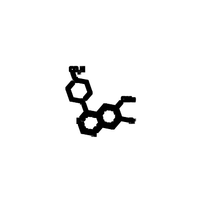 COc1cc2c(N3CCN(C(=O)O)CC3)ncnc2cc1Br